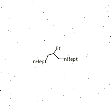 [CH2]CCCCCCCC(CC)CCCCCCC[CH2]